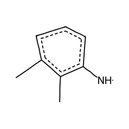 Cc1cccc([NH])c1C